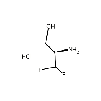 Cl.N[C@H](CO)C(F)F